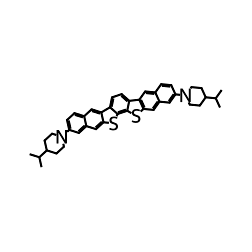 CC(C)C1CCN(c2ccc3cc4c(cc3c2)sc2c4ccc3c4cc5ccc(N6CCC(C(C)C)CC6)cc5cc4sc32)CC1